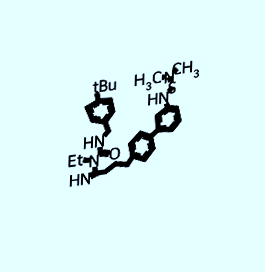 CCN(C(=N)CCCc1ccc(-c2cccc(NSN(C)C)c2)cc1)C(=O)NCc1ccc(C(C)(C)C)cc1